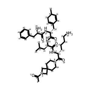 CC(=O)N1CC2(CCN(C(=O)[C@@H](CCCCN)NC(=O)[C@@H](CC(C)C)NC(=O)[C@@H](CC3=CCC(C)C=C3)NC(=O)[C@H](N)Cc3ccccc3)CC2)C1